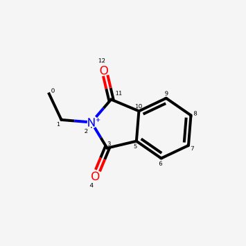 CC[N+]1C(=O)c2ccccc2C1=O